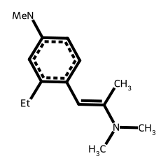 CCc1cc(NC)ccc1/C=C(\C)N(C)C